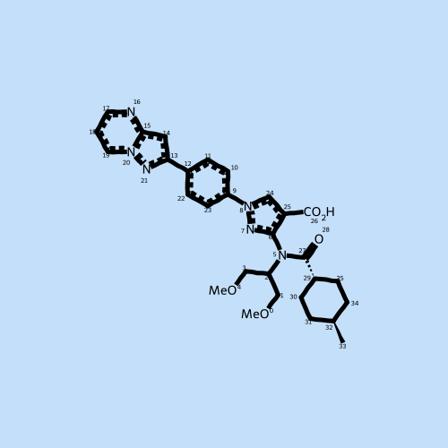 COCC(COC)N(c1nn(-c2ccc(-c3cc4ncccn4n3)cc2)cc1C(=O)O)C(=O)[C@H]1CC[C@H](C)CC1